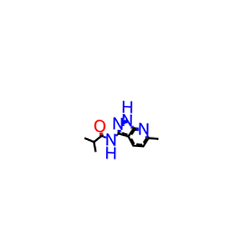 Cc1ccc2c(NC(=O)C(C)C)n[nH]c2n1